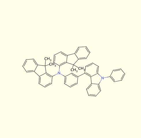 CC1(C)c2ccccc2-c2cccc(N(c3cccc(-c4cccc5c4c4ccccc4n5-c4ccccc4)c3)c3cccc4c3C(C)(C)c3ccccc3-4)c21